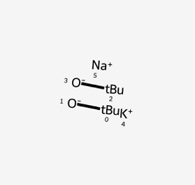 CC(C)(C)[O-].CC(C)(C)[O-].[K+].[Na+]